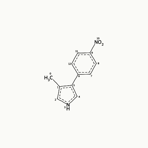 Cc1c[nH]cc1-c1ccc([N+](=O)[O-])cc1